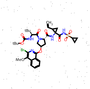 C=CC1C[C@]1(NC(=O)[C@@H]1C[C@@H](Oc2nc(Br)c(OC)c3ccccc23)CN1C(=O)[C@@H](NC(=O)OC(C)(C)C)C(C)(C)C)C(=O)NS(=O)(=O)C1CC1